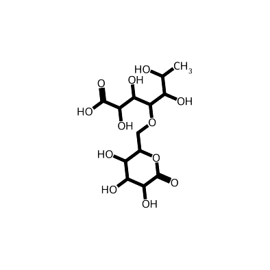 CC(O)C(O)C(OCC1OC(=O)C(O)C(O)C1O)C(O)C(O)C(=O)O